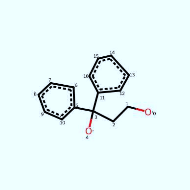 [O]CCC([O])(c1ccccc1)c1ccccc1